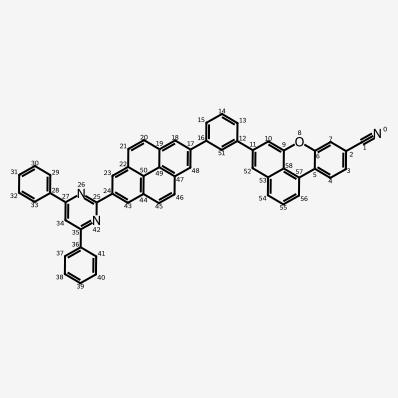 N#Cc1ccc2c(c1)Oc1cc(-c3cccc(-c4cc5ccc6cc(-c7nc(-c8ccccc8)cc(-c8ccccc8)n7)cc7ccc(c4)c5c67)c3)cc3cccc-2c13